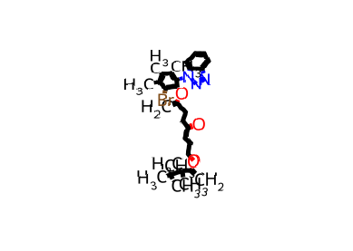 C=C(CCC(=O)CCCOC(=C)C(C)(C)C(C)(C)C)Oc1c(Br)c(C)c(C)c(C)c1-n1nnc2ccccc21